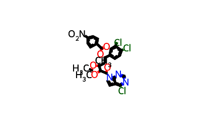 CC1(C)OC2[C@H](n3ccc4c(Cl)ncnc43)OC([C@@H](OC(=O)c3ccc([N+](=O)[O-])cc3)c3ccc(Cl)c(Cl)c3)[C@@]2(C)O1